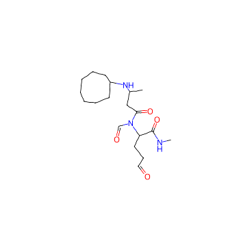 CNC(=O)C(CCC=O)N(C=O)C(=O)CC(C)NC1CCCCCCC1